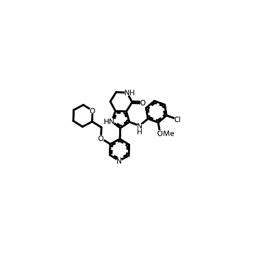 COc1c(Cl)cccc1Nc1c(-c2ccncc2OCC2CCCCO2)[nH]c2c1C(=O)NCC2